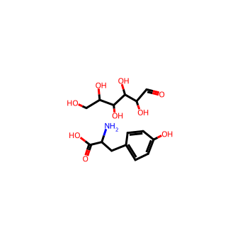 NC(Cc1ccc(O)cc1)C(=O)O.O=CC(O)C(O)C(O)C(O)CO